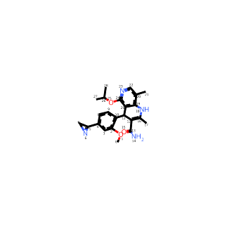 COc1cc(C2=NC2)ccc1C1C(C(N)=O)=C(C)Nc2c(C)cnc(OC(C)C)c21